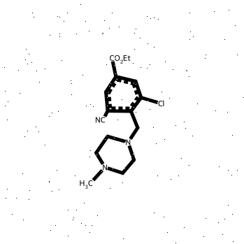 CCOC(=O)c1cc(Cl)c(CN2CCN(C)CC2)c(C#N)c1